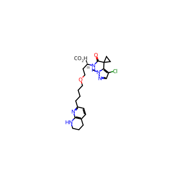 Cn1ncc(Cl)c1C1(C(=O)N[C@@H](CCOCCCCc2ccc3c(n2)NCCC3)C(=O)O)CC1